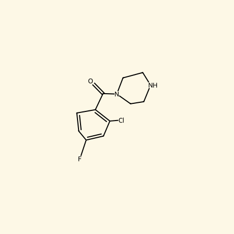 O=C(c1ccc(F)cc1Cl)N1CCNCC1